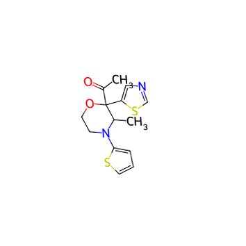 CC(=O)C1(c2cncs2)OCCN(c2cccs2)C1C